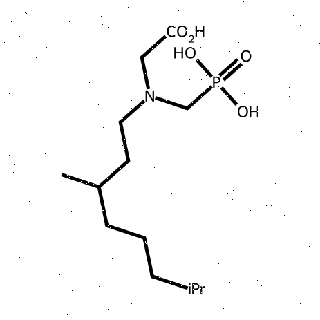 CC(C)CCCC(C)CCN(CC(=O)O)CP(=O)(O)O